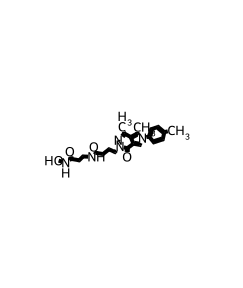 Cc1ccc(-n2cc3c(=O)n(CCCC(=O)NCCC(=O)NO)nc(C)c3c2C)cc1